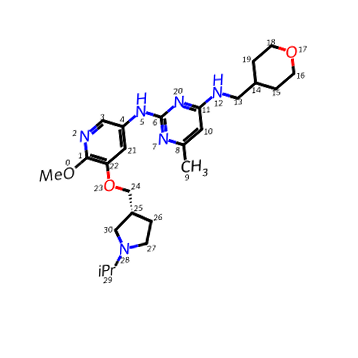 COc1ncc(Nc2nc(C)cc(NCC3CCOCC3)n2)cc1OC[C@@H]1CCN(C(C)C)C1